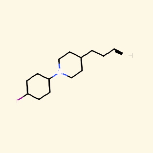 C=CCCC1CCN(C2CCC(I)CC2)CC1